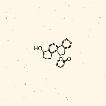 O=c1cccco1.OC1=CCCc2c1ccc1c2CCc2ccccc2-1